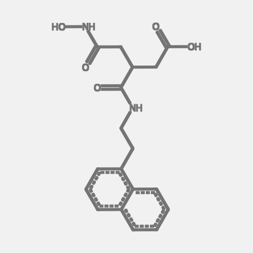 O=C(O)CC(CC(=O)NO)C(=O)NCCc1cccc2ccccc12